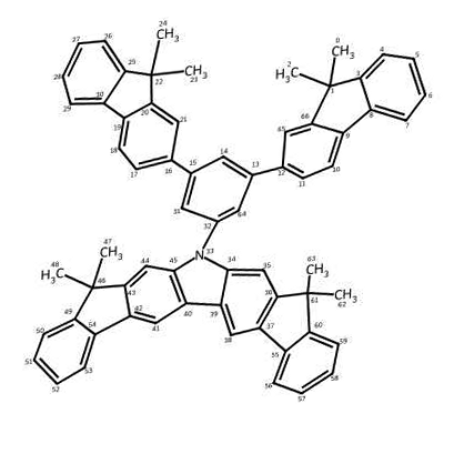 CC1(C)c2ccccc2-c2ccc(-c3cc(-c4ccc5c(c4)C(C)(C)c4ccccc4-5)cc(-n4c5cc6c(cc5c5cc7c(cc54)C(C)(C)c4ccccc4-7)-c4ccccc4C6(C)C)c3)cc21